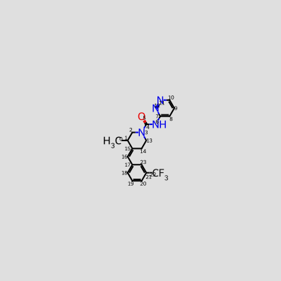 CC1CN(C(=O)Nc2cccnn2)CCC1=Cc1cccc(C(F)(F)F)c1